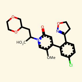 COc1cn(C(CC2COCCO2)C(=O)O)c(=O)cc1-c1cc(Cl)ccc1C1=NOCC1